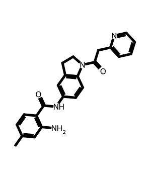 Cc1ccc(C(=O)Nc2ccc3c(c2)CCN3C(=O)Cc2ccccn2)c(N)c1